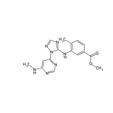 CNc1cc(-n2ncnc2Nc2cc(C(=O)OC)ccc2C)ncn1